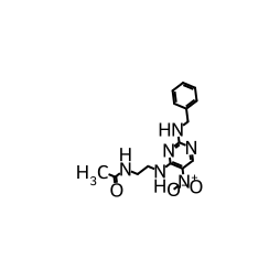 CC(=O)NCCNc1nc(NCc2ccccc2)ncc1[N+](=O)[O-]